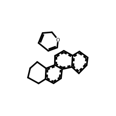 C1=CCOC=C1.c1ccc2c(c1)ccc1c3c(ccc12)CCCC3